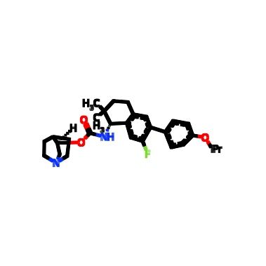 CC(C)Oc1ccc(-c2cc3c(cc2F)[C@H](NC(=O)O[C@H]2CN4CCC2CC4)C(C)(C)CC3)cc1